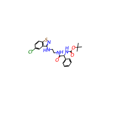 CC(C)(C)OC(=O)N[C@H](C(=O)NCCNc1nsc2ccc(Cl)cc12)c1ccccc1